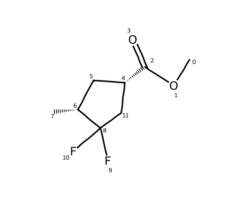 COC(=O)[C@H]1C[C@@H](C)C(F)(F)C1